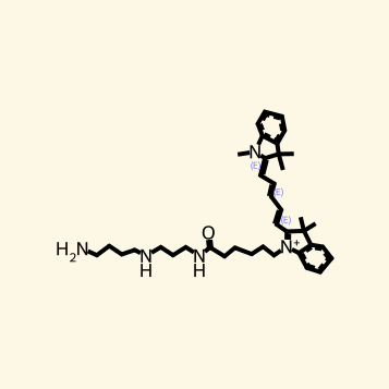 CN1/C(=C/C=C/C=C/C2=[N+](CCCCCC(=O)NCCCNCCCCN)c3ccccc3C2(C)C)C(C)(C)c2ccccc21